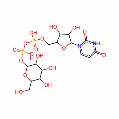 O=c1ccn(C2OC(COP(=O)(O)OP(=O)(O)OC3OC(CO)C(O)C(O)C3O)C(O)C2O)c(=O)[nH]1